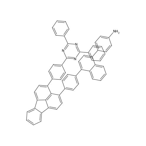 Nc1ccc(-c2ccc(-c3ccc(-c4ccc5c6c(ccc(-c7ccc(-c8nc(-c9ccccc9)nc(-c9ccccc9)n8)cc7)c46)-c4ccccc4-5)cc3)c3ccccc23)cc1